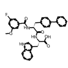 COc1cc(F)cc(C(=O)N[C@H](Cc2ccc(-c3ccccc3)cc2)C(=O)N[C@@H](Cc2c[nH]c3ccccc23)C(=O)O)c1